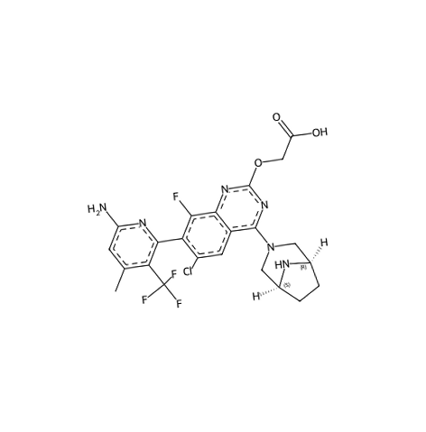 Cc1cc(N)nc(-c2c(Cl)cc3c(N4C[C@H]5CC[C@@H](C4)N5)nc(OCC(=O)O)nc3c2F)c1C(F)(F)F